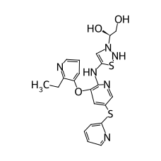 CCc1ncccc1Oc1cc(Sc2ccccn2)cnc1NC1=CN([C@@H](O)CO)NS1